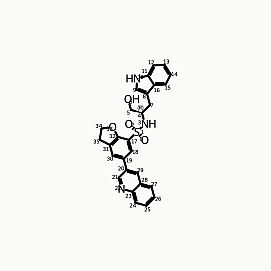 O=S(=O)(N[C@@H](CO)Cc1c[nH]c2ccccc12)c1cc(-c2cnc3ccccc3c2)cc2c1OCC2